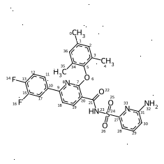 Cc1cc(C)c(Oc2nc(-c3ccc(F)c(F)c3)ccc2C(=O)NS(=O)(=O)c2cccc(N)n2)c(C)c1